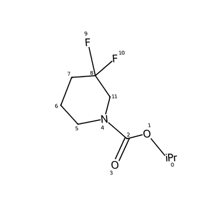 CC(C)OC(=O)N1CCCC(F)(F)C1